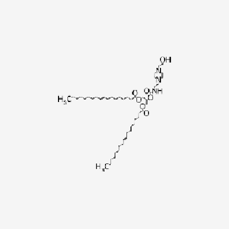 CCCCCCCCC=CCCCCCCCC(=O)OCC(COC(=O)CCCCCCCC=CCCCCCCCC)OC(=O)NCCN1CCN(CCO)CC1